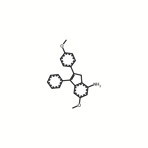 COc1ccc(C2=C(c3ccccc3)c3cc(OC)cc(N)c3C2)cc1